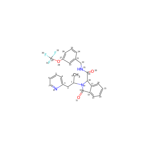 CC(Cc1ccccn1)N1C(=O)c2ccccc2C1C(=O)NCc1cccc(OC(F)(F)F)c1